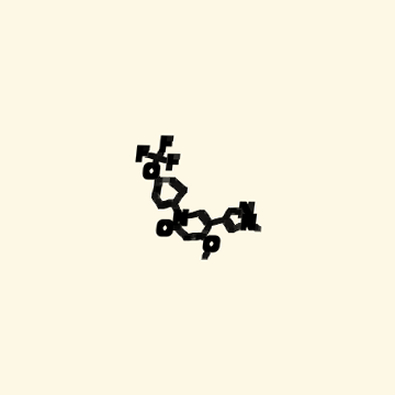 COc1cc(=O)n(-c2ccc(OC(F)(F)F)cc2)cc1-c1cnn(C)c1